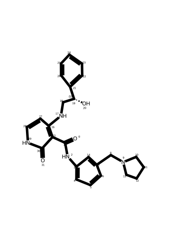 O=C(Nc1cccc(CN2CCCC2)c1)c1c(NC[C@@H](O)c2ccccc2)cc[nH]c1=O